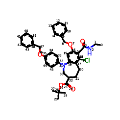 CCNC(=O)c1c(OCc2ccccc2)cc2c(c1Cl)CCC(C(=O)OC(C)(C)C)CN2c1ccc(OCc2ccccc2)cc1